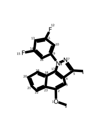 COc1cc2c(C)nn(-c3cc(F)cc(F)c3)c2c2ccccc12